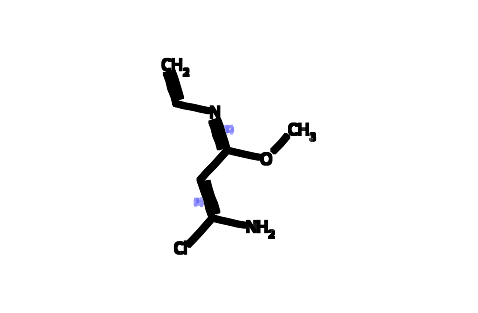 C=C/N=C(\C=C(/N)Cl)OC